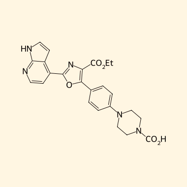 CCOC(=O)c1nc(-c2ccnc3[nH]ccc23)oc1-c1ccc(N2CCN(C(=O)O)CC2)cc1